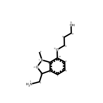 CB1OC(CN)c2cccc(OCCCO)c21